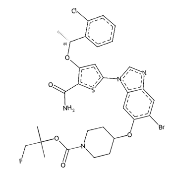 C[C@@H](Oc1cc(-n2cnc3cc(Br)c(OC4CCN(C(=O)OC(C)(C)CF)CC4)cc32)sc1C(N)=O)c1ccccc1Cl